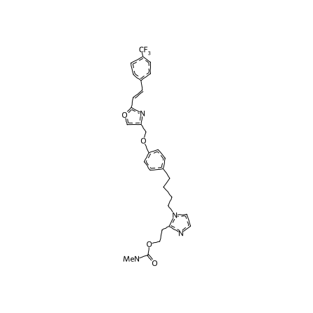 CNC(=O)OCCc1nccn1CCCCc1ccc(OCc2coc(C=Cc3ccc(C(F)(F)F)cc3)n2)cc1